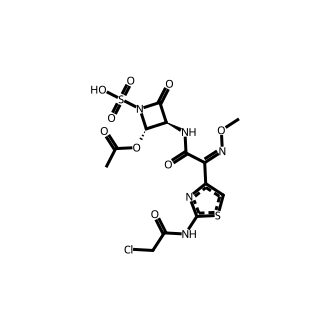 CO/N=C(\C(=O)N[C@@H]1C(=O)N(S(=O)(=O)O)[C@H]1OC(C)=O)c1csc(NC(=O)CCl)n1